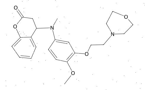 COc1ccc(N(C)C2CC(=O)Oc3ccccc32)cc1OCCN1CCOCC1